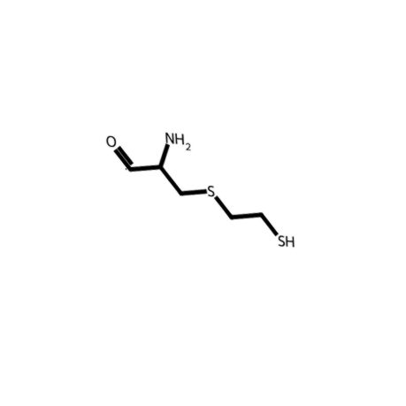 NC([C]=O)CSCCS